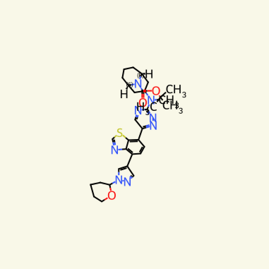 CN(c1ncc(-c2ccc(-c3cnn(C4CCCCO4)c3)c3ncsc23)nn1)C1C[C@H]2CCC[C@@H](C1)N2C(=O)OC(C)(C)C